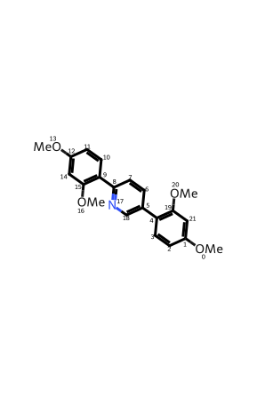 COc1ccc(-c2ccc(-c3ccc(OC)cc3OC)nc2)c(OC)c1